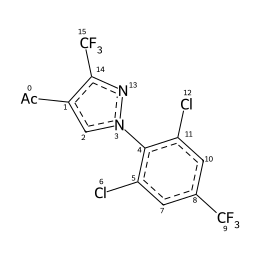 CC(=O)c1cn(-c2c(Cl)cc(C(F)(F)F)cc2Cl)nc1C(F)(F)F